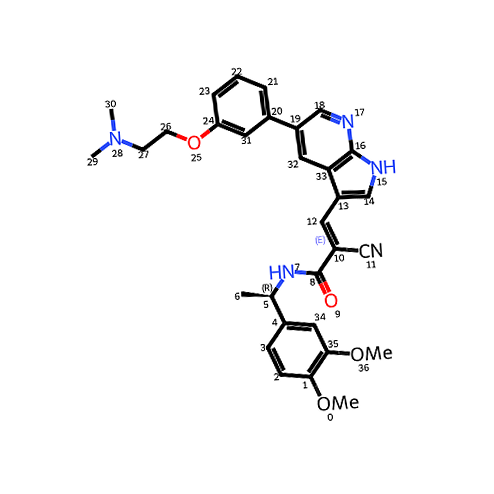 COc1ccc([C@@H](C)NC(=O)/C(C#N)=C/c2c[nH]c3ncc(-c4cccc(OCCN(C)C)c4)cc23)cc1OC